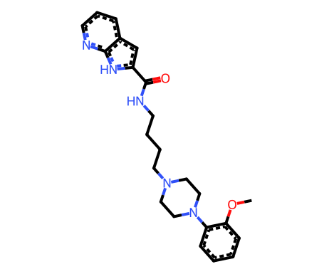 COc1ccccc1N1CCN(CCCCNC(=O)c2cc3cccnc3[nH]2)CC1